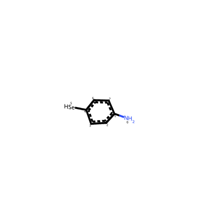 Nc1ccc([SeH])cc1